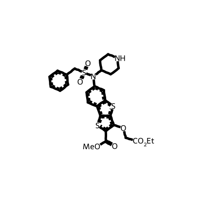 CCOC(=O)COc1c(C(=O)OC)sc2c1sc1cc(N(C3CCNCC3)S(=O)(=O)Cc3ccccc3)ccc12